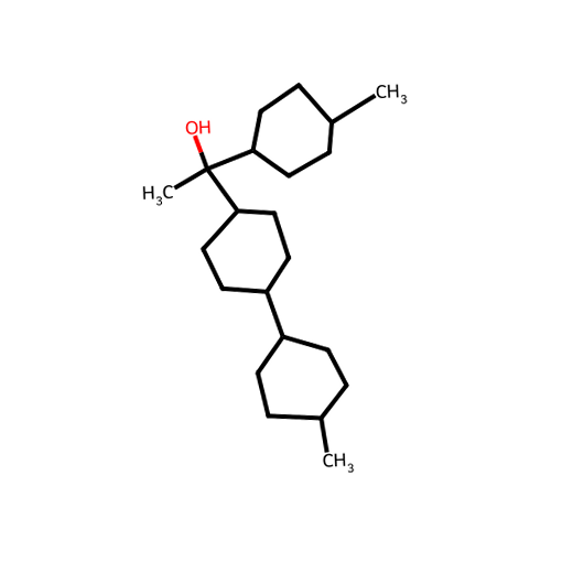 CC1CCC(C2CCC(C(C)(O)C3CCC(C)CC3)CC2)CC1